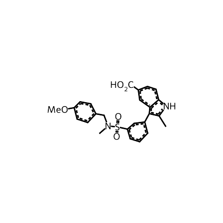 COc1ccc(CN(C)S(=O)(=O)c2cccc(-c3c(C)[nH]c4ccc(C(=O)O)cc34)c2)cc1